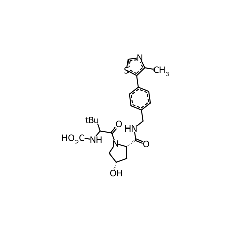 Cc1ncsc1-c1ccc(CNC(=O)[C@@H]2C[C@H](O)CN2C(=O)C(NC(=O)O)C(C)(C)C)cc1